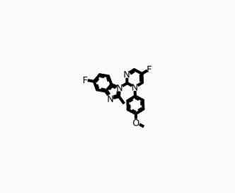 COc1ccc(N2C=C(F)C=NC2n2c(C)nc3cc(F)ccc32)cc1